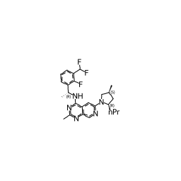 CCC[C@@H]1C[C@H](C)CN1c1cc2c(N[C@H](C)c3cccc(C(F)F)c3F)nc(C)nc2cn1